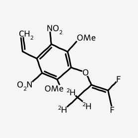 [2H]C([2H])([2H])C(Oc1c(OC)c([N+](=O)[O-])c(C=C)c([N+](=O)[O-])c1OC)=C(F)F